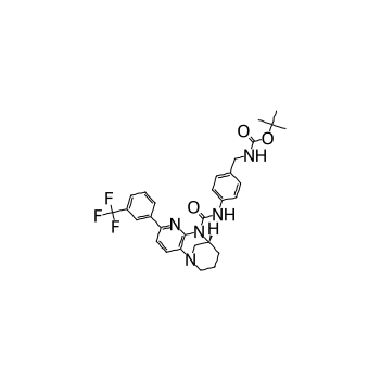 CC(C)(C)OC(=O)NCc1ccc(NC(=O)N2c3nc(-c4cccc(C(F)(F)F)c4)ccc3N3CCC[C@@H]2C3)cc1